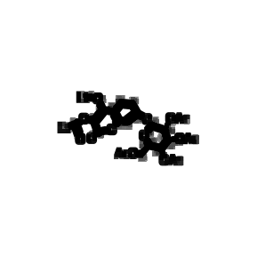 CCOc1c(OC(=O)CC)c(=O)oc2cc(O[C@@H]3O[C@H](COC(C)=O)[C@H](OC(C)=O)[C@H](OC(C)=O)[C@H]3OC(C)=O)ccc12